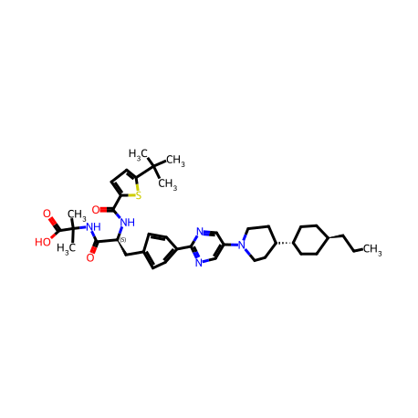 CCC[C@H]1CC[C@H](C2CCN(c3cnc(-c4ccc(C[C@H](NC(=O)c5ccc(C(C)(C)C)s5)C(=O)NC(C)(C)C(=O)O)cc4)nc3)CC2)CC1